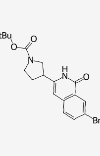 CC(C)(C)OC(=O)N1CCC(c2cc3ccc(Br)cc3c(=O)[nH]2)C1